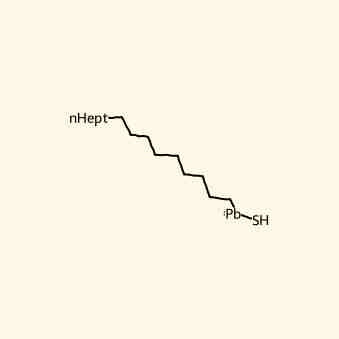 CCCCCCCCCCCCCCC[CH2][Pb][SH]